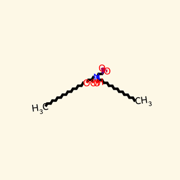 CCCCCCCCCCCCCCCCOCC(O)CN(CCP(=O)=O)C(=O)CCCCCCCCCCCCCCC